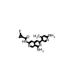 Cc1cc(N)ncc1-c1cc2cc(NC(=O)C3CC3F)ncc2c(N)n1